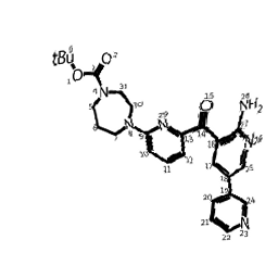 CC(C)(C)OC(=O)N1CCCN(c2cccc(C(=O)c3cc(-c4cccnc4)cnc3N)n2)CC1